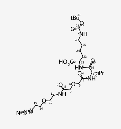 CC(C)[C@H](NC(=O)COCC(=O)NCCOCCN=[N+]=[N-])C(=O)N[C@@H](CCCCNC(=O)OC(C)(C)C)C(=O)O